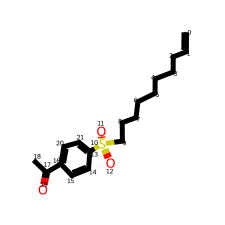 C=CCCCCCCCCS(=O)(=O)c1ccc(C(C)=O)cc1